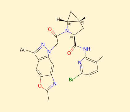 CC(=O)c1nn(CC(=O)N2[C@H](C(=O)Nc3nc(Br)ccc3C)C[C@@]3(C)C[C@@H]23)c2cc3nc(C)oc3cc12